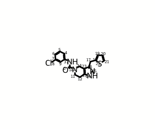 O=C(Nc1cccc(Cl)c1)N1CCc2[nH]nc(Cc3cccs3)c2C1